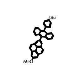 COc1cc2ccc3cc(-c4c5ccccc5c(-c5ccc(C(C)(C)C)cc5)c5ccccc45)cc4ccc(c1)c2c34